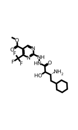 COC(=O)c1cnc(NNC(=O)C(O)[C@H](N)CC2CCCCC2)nc1C(F)(F)F